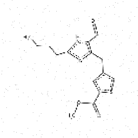 CCCCc1nc(Cc2csc(C(=O)OC)c2)c(C=O)[nH]1